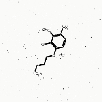 Cl.O=Cc1c([N+](=O)[O-])ccc(OCCCC(=O)O)c1Cl